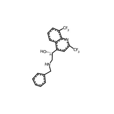 O[C@@H](CNCc1ccccc1)c1cc(C(F)(F)F)nc2c(C(F)(F)F)cccc12